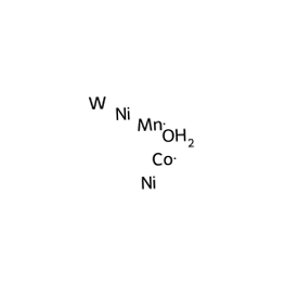 O.[Co].[Mn].[Ni].[Ni].[W]